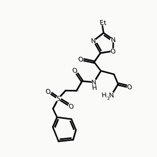 CCc1noc(C(=O)C(CC(N)=O)NC(=O)[CH]CS(=O)(=O)Cc2ccccc2)n1